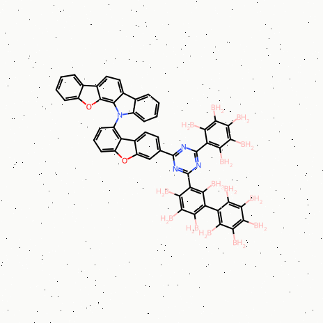 Bc1c(B)c(B)c(-c2nc(-c3ccc4c(c3)oc3cccc(-n5c6ccccc6c6ccc7c8ccccc8oc7c65)c34)nc(-c3c(B)c(B)c(B)c(-c4c(B)c(B)c(B)c(B)c4B)c3B)n2)c(B)c1B